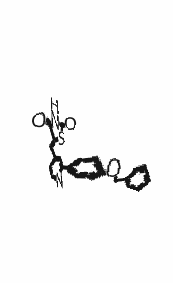 O=C1NC(=O)C(=Cc2ccnc(-c3ccc(OCc4ccccc4)cc3)c2)S1